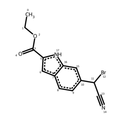 CCOC(=O)c1cc2ccc(C(Br)C#N)cc2[nH]1